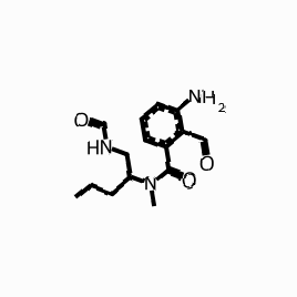 CCCC(CNC=O)N(C)C(=O)c1cccc(N)c1C=O